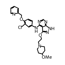 COC1CCN(CCOc2n[nH]c3ncnc(Nc4ccc(OCc5ccccn5)c(Cl)c4)c23)CC1